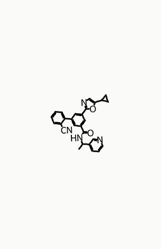 CC(NC(=O)c1cc(-c2ncc(C3CC3)o2)cc(-c2ccccc2C#N)c1)c1cccnc1